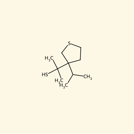 CC(C)C1(C(C)(C)S)CCSC1